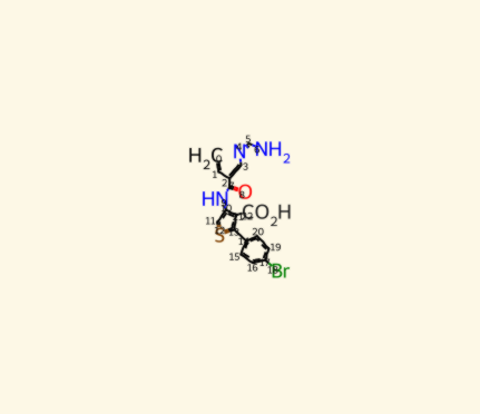 C=C/C(=C\N=C/N)C(=O)Nc1csc(-c2ccc(Br)cc2)c1C(=O)O